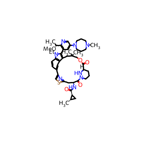 CCn1c(-c2cc(N3CCCN(C)CCC3)cnc2[C@H](C)OC)c2c3cc(ccc31)-c1csc(n1)C[C@H](NC(=O)[C@H]1C[C@@H]1C)C(=O)N1CCC[C@H](N1)C(=O)OCC(C)(C)C2